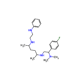 CC(CCC(C)NCC(c1ccc(F)cc1)N(C)C)NCCNc1ccccc1